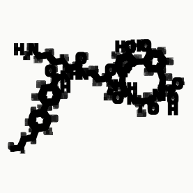 CCCCc1ccc(-c2ccc(C(=O)N[C@@H](CCCCN)C(=O)NCCC(=O)N(C)[C@@H]3C(=O)N[C@@H](C)C(=O)N[C@H](C(=O)O)Cc4ccc(O)c(c4)-c4cc3ccc4O)cc2)cc1